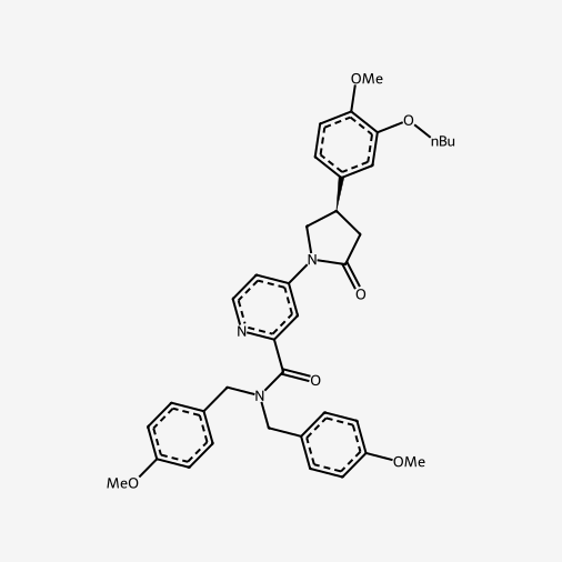 CCCCOc1cc([C@H]2CC(=O)N(c3ccnc(C(=O)N(Cc4ccc(OC)cc4)Cc4ccc(OC)cc4)c3)C2)ccc1OC